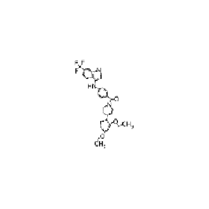 CCOc1ccc(C2=CCN(C(=O)c3ccc(Nc4ccnc5cc(C(F)(F)F)ccc45)cc3)CC2)c(OCC)c1